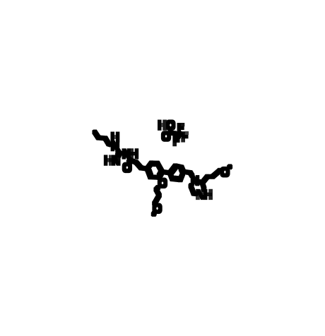 CCCCNC(=N)NC(=O)CCc1ccc(-c2ccc(CN3CCNCC3CCCOC)cc2)c(OCCCOC)c1.O=C(O)C(F)(F)F